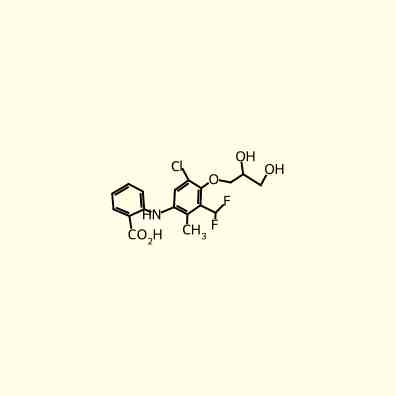 Cc1c(Nc2ccccc2C(=O)O)cc(Cl)c(OCC(O)CO)c1C(F)F